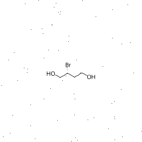 OCC[C@@H](Br)CO